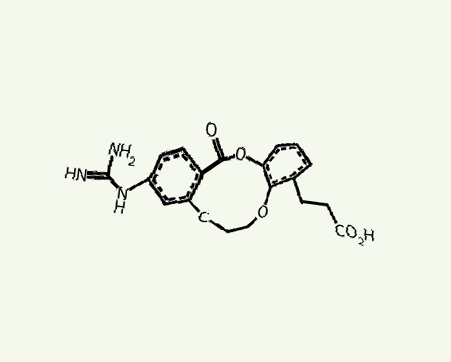 N=C(N)Nc1ccc2c(c1)CCCOc1c(CCC(=O)O)cccc1OC2=O